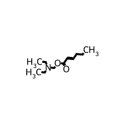 CCCC=CC(=O)OCN(CC)CC